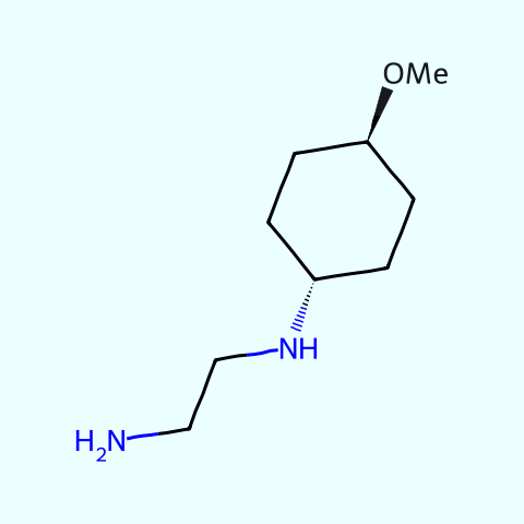 CO[C@H]1CC[C@H](NCCN)CC1